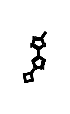 Cc1nnc(-c2cnn(C3CCC3)c2)o1